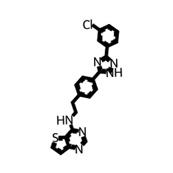 Clc1cccc(-c2n[nH]c(-c3ccc(CCNc4ncnc5ccsc45)cc3)n2)c1